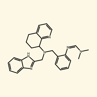 CN(C)/C=N\c1ccccc1CN(Cc1nc2ccccc2[nH]1)C1CCCc2cccnc21